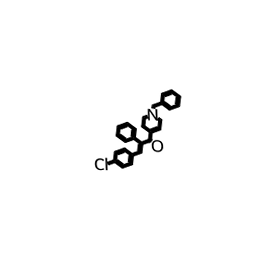 O=C(C1=CCN(Cc2ccccc2)CC1)/C(=C/c1ccc(Cl)cc1)c1ccccc1